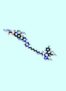 CNC(=O)COc1cc2cc(Nc3nc(N4CCN(CCCCCCCCNC(=O)C[C@@H]5N=C(c6ccc(Cl)cc6)c6c(sc(C)c6C)-n6c(C)nnc65)CC4)ncc3Cl)cc(OC)c2n(C)c1=O